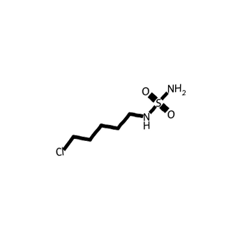 NS(=O)(=O)NCCCCCCl